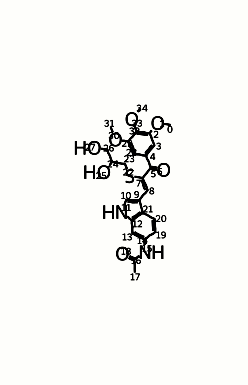 COc1cc(C(=O)/C(=C/c2c[nH]c3cc(NC(C)=O)ccc23)SCC(O)CO)cc(OC)c1OC